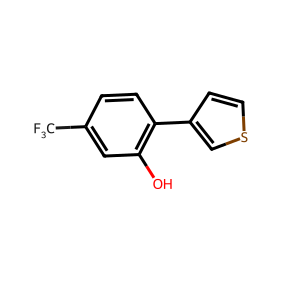 Oc1cc(C(F)(F)F)ccc1-c1ccsc1